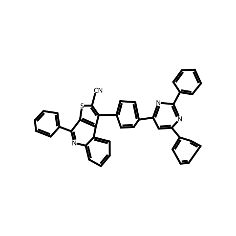 N#Cc1sc2c(-c3ccccc3)nc3ccccc3c2c1-c1ccc(-c2cc(-c3ccccc3)nc(-c3ccccc3)n2)cc1